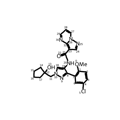 COc1ccc(Cl)cc1-c1nn(CC2(O)CCCC2)cc1NC(=O)c1cnn2cccnc12